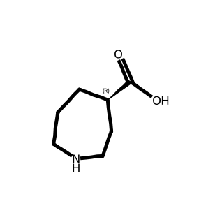 O=C(O)[C@@H]1CCCNCC1